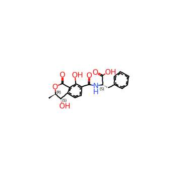 C[C@H]1OC(=O)c2c(ccc(C(=O)N[C@@H](Cc3ccccc3)C(=O)O)c2O)[C@@H]1O